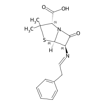 CC1(C)S[C@@H]2[C@H](N=CCc3ccccc3)C(=O)N2[C@H]1C(=O)O